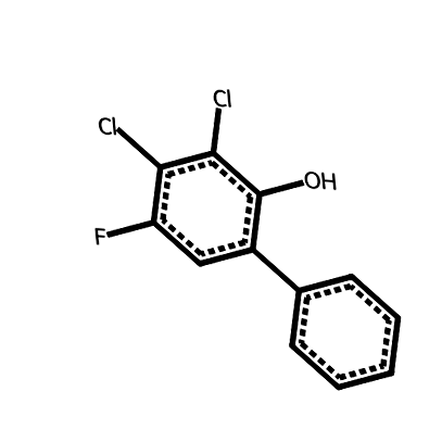 Oc1c(-c2ccccc2)cc(F)c(Cl)c1Cl